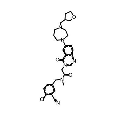 CN(Cc1ccc(Cl)c(C#N)c1)C(=O)Cn1cnc2ccc(N3CCCN(CC4CCOC4)CC3)cc2c1=O